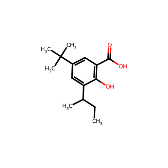 CCC(C)c1cc(C(C)(C)C)cc(C(=O)O)c1O